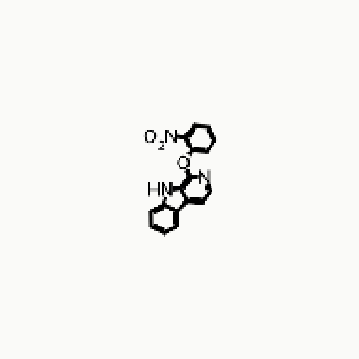 O=[N+]([O-])c1ccccc1Oc1nccc2c1[nH]c1ccccc12